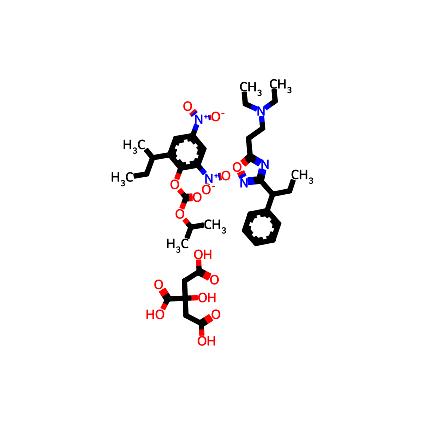 CCC(C)c1cc([N+](=O)[O-])cc([N+](=O)[O-])c1OC(=O)OC(C)C.CCC(c1ccccc1)c1noc(CCN(CC)CC)n1.O=C(O)CC(O)(CC(=O)O)C(=O)O